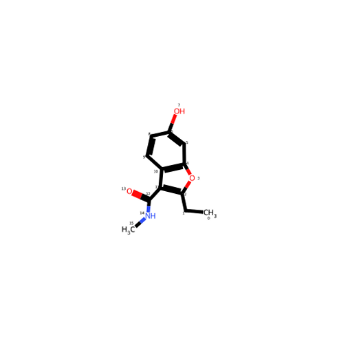 CCc1oc2cc(O)ccc2c1C(=O)NC